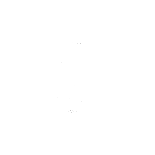 CC(=O)Oc1ccccc1[S+](C)C.COS(=O)(=O)[O-]